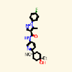 CC[C@]1(O)CC[C@](C#N)(c2ccc(NC(=O)c3cnn(-c4ccc(F)cc4)c3C)cn2)CC1